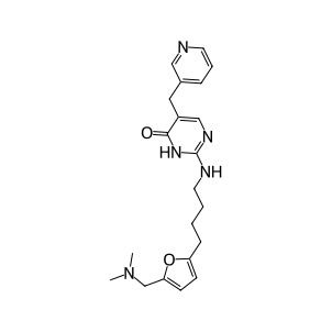 CN(C)Cc1ccc(CCCCNc2ncc(Cc3cccnc3)c(=O)[nH]2)o1